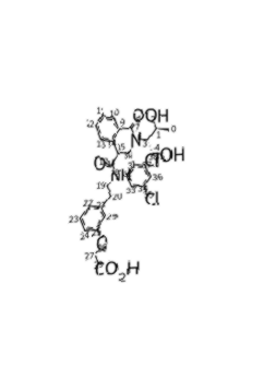 C[C@H](O)[C@H](CO)N1C(=O)c2ccccc2[C@H](C(=O)NCCc2cccc(OCC(=O)O)c2)[C@H]1c1ccc(Cl)cc1Cl